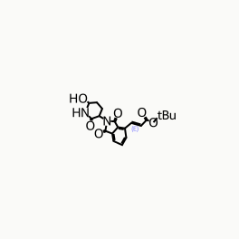 CC(C)(C)OC(=O)/C=C/c1cccc2c1C(=O)N(C1CCC(O)NC1=O)C2=O